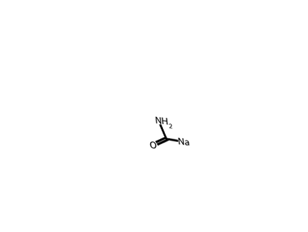 N[C](=O)[Na]